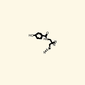 [N-]=[N+]=NCC1(CNC(=O)c2ccc(O)cc2)N=N1